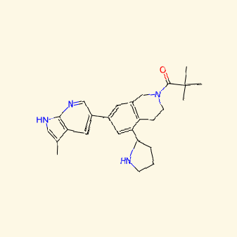 Cc1c[nH]c2ncc(-c3cc4c(c(C5CCCN5)c3)CCN(C(=O)C(C)(C)C)C4)cc12